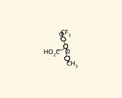 Cc1ccc(COc2ccc(-c3ccc(OC(F)(F)F)cc3)cc2CCC(=O)O)cc1